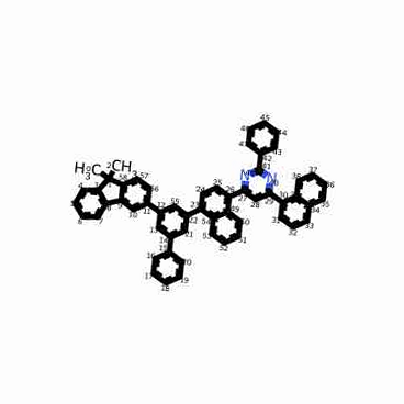 CC1(C)c2ccccc2-c2cc(-c3cc(-c4ccccc4)cc(-c4ccc(-c5cc(-c6cccc7ccccc67)nc(-c6ccccc6)n5)c5ccccc45)c3)ccc21